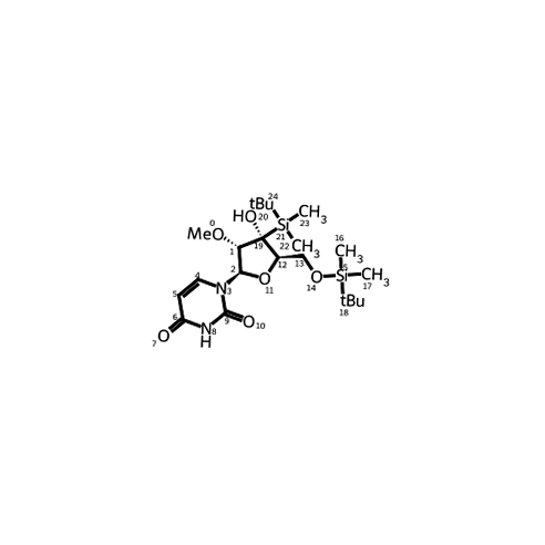 CO[C@H]1[C@H](n2ccc(=O)[nH]c2=O)O[C@H](CO[Si](C)(C)C(C)(C)C)[C@]1(O)[Si](C)(C)C(C)(C)C